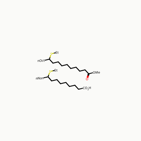 CCCCCCCCC(CCCCCCCCC(=O)OC)SCC.CCCCCCCCCC(CCCCCCCC(=O)O)SCC